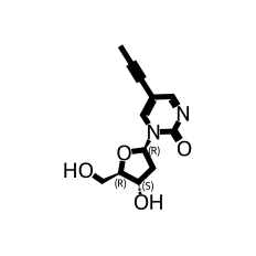 CC#Cc1cnc(=O)n([C@H]2C[C@H](O)[C@@H](CO)O2)c1